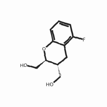 OC[C@H]1Cc2c(F)cccc2O[C@@H]1CO